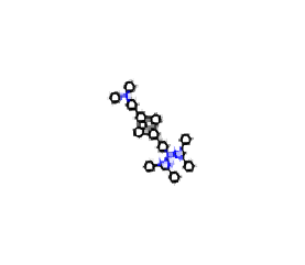 c1ccc(-c2cc(-c3ccccc3)nc(N(c3ccc(-c4ccc([Si](c5ccccc5)(c5ccccc5)c5ccc(-c6ccc(N(c7ccccc7)c7ccccc7)cc6)cc5)cc4)cc3)c3nc(-c4ccccc4)cc(-c4ccccc4)n3)n2)cc1